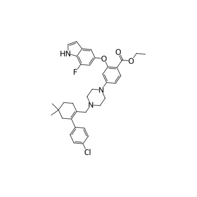 CCOC(=O)c1ccc(N2CCN(CC3=C(c4ccc(Cl)cc4)CC(C)(C)CC3)CC2)cc1Oc1cc(F)c2[nH]ccc2c1